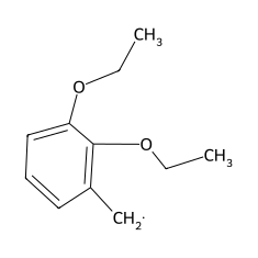 [CH2]c1cccc(OCC)c1OCC